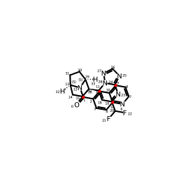 O=C(c1ccc2ncccc2c1)N1[C@H]2CC[C@H](c3cc(C(F)F)nc4ncnn34)[C@@H]1CC2